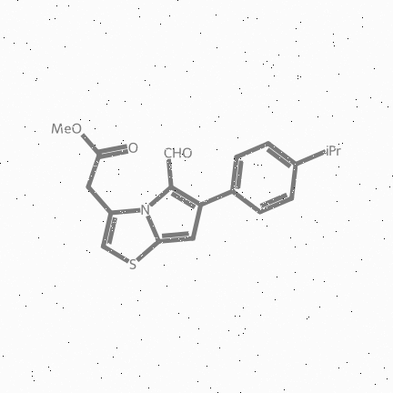 COC(=O)Cc1csc2cc(-c3ccc(C(C)C)cc3)c(C=O)n12